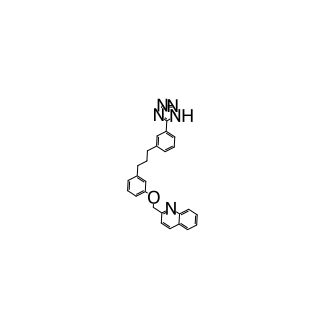 c1cc(CCCc2cccc(-c3nnn[nH]3)c2)cc(OCc2ccc3ccccc3n2)c1